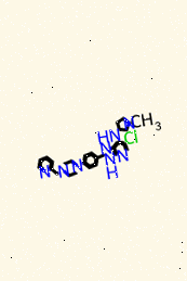 CN1CCC(Nc2c(Cl)cnc3[nH]c(-c4ccc(N5CCN(Cc6ccccn6)CC5)cc4)nc23)C1